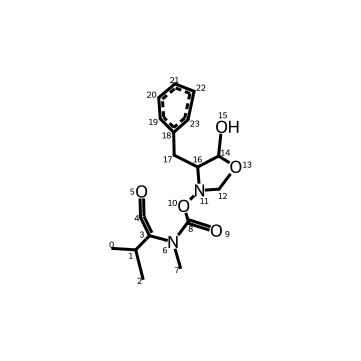 CC(C)C(=C=O)N(C)C(=O)ON1COC(O)C1Cc1ccccc1